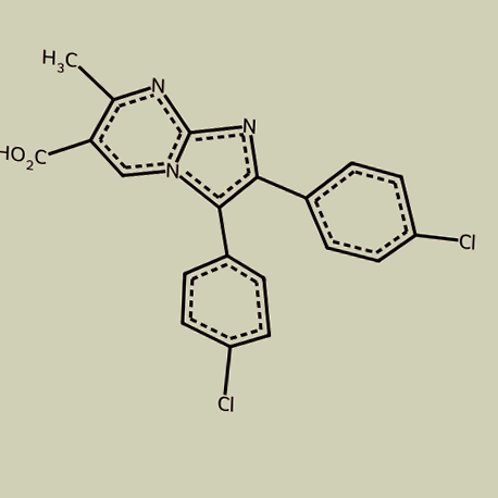 Cc1nc2nc(-c3ccc(Cl)cc3)c(-c3ccc(Cl)cc3)n2cc1C(=O)O